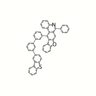 c1ccc(-c2nc3ccccc3c3c(-c4cccc(-c5cccc(-c6ccc7sc8ccccc8c7c6)c5)c4)c4c(cc23)oc2ccccc24)cc1